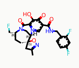 CC1=NO[C@@]2(CC[C@H](CF)N3C[C@H]2n2cc(C(=O)NCc4ccc(F)cc4F)c(=O)c(O)c2C3=O)C1